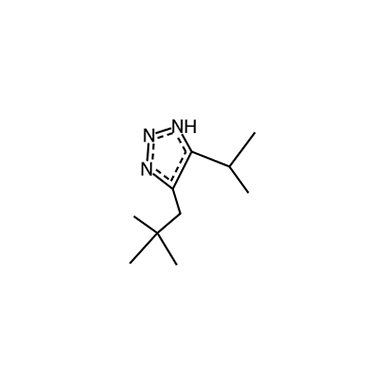 CC(C)c1[nH]nnc1CC(C)(C)C